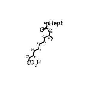 CCCCCCCC(=O)OC(C)CCCCCCCC(=O)O